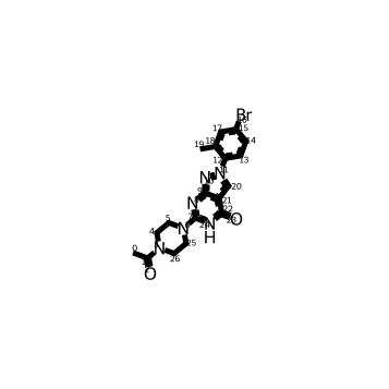 CC(=O)N1CCN(c2nc3nn(-c4ccc(Br)cc4C)cc3c(=O)[nH]2)CC1